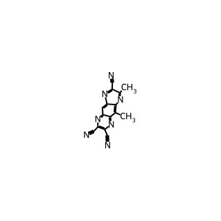 Cc1nc2c(C)c3nc(C#N)c(C#N)nc3cc2nc1C#N